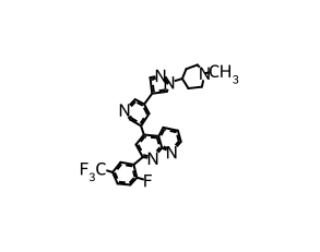 CN1CCC(n2cc(-c3cncc(-c4cc(-c5cc(C(F)(F)F)ccc5F)nc5ncccc45)c3)cn2)CC1